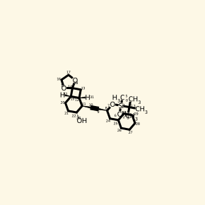 CC(C)(C)[Si](C)(C)O[C@H](C#C[C@@H]1[C@H]2CC3(OCCO3)[C@H]2CC[C@H]1O)CC1CCCCC1